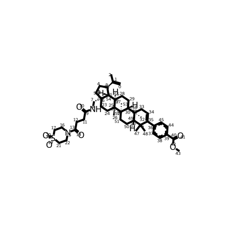 C=C(C)[C@@H]1CC[C@]2(CNC(=O)CCC(=O)N3CCS(=O)(=O)CC3)CC[C@]3(C)[C@H](CC[C@@H]4[C@@]5(C)CC=C(c6ccc(C(=O)OC)cc6)C(C)(C)[C@@H]5CC[C@]43C)[C@@H]12